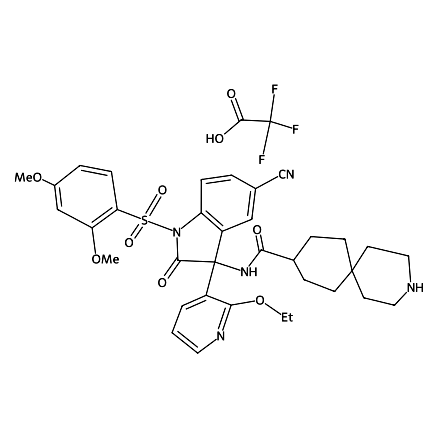 CCOc1ncccc1C1(NC(=O)C2CCC3(CCNCC3)CC2)C(=O)N(S(=O)(=O)c2ccc(OC)cc2OC)c2ccc(C#N)cc21.O=C(O)C(F)(F)F